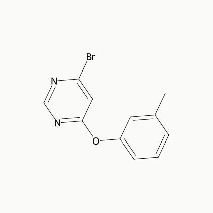 Cc1cccc(Oc2cc(Br)ncn2)c1